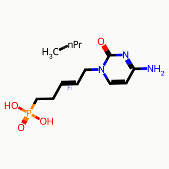 CCCC.Nc1ccn(C/C=C/CCP(=O)(O)O)c(=O)n1